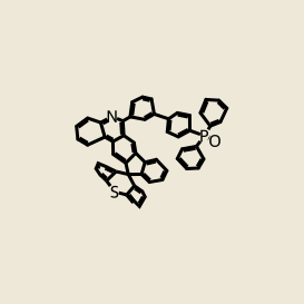 O=P(c1ccccc1)(c1ccccc1)c1ccc(-c2cccc(-c3nc4ccccc4c4cc5c(cc34)-c3ccccc3C53c4ccccc4Sc4ccccc43)c2)cc1